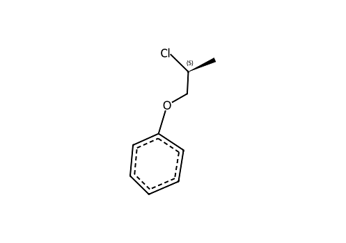 C[C@H](Cl)COc1ccccc1